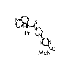 CNC(=O)c1cnc(N2CCN(C(=S)Nc3cccc4ncccc34)C(C(C)C)C2)cn1